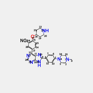 CN1CCN(c2ccc(-c3nc4c(-c5ccc(OC6CCNCC6)c(C#N)c5)ncnc4[nH]3)cc2)CC1